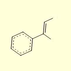 CC(=O)C(=CO)c1ccccc1